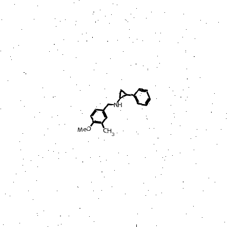 COc1ccc(CNC2CC2c2ccccc2)cc1C